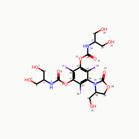 O=C(NC(CO)CO)Oc1c(I)c(OC(=O)NC(CO)CO)c(I)c(N2C(=O)OCC2CO)c1I